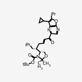 CC(C)C[C@H](CC=CC(=O)c1cnc2oc(C(C)C)c(C3CC3)c2n1)[C@@H]1COC(C)(C)N1C(=O)OC(C)(C)C